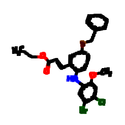 CCOC(=O)/C=C/c1cc(SCc2ccccc2)ccc1Nc1cc(Br)c(Cl)cc1OC